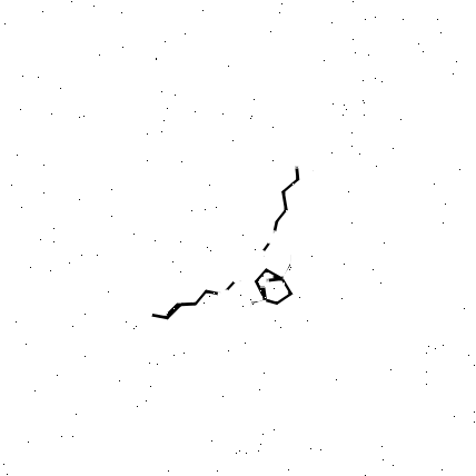 CC=CCCSC[C@@H]1[C@H](CSCCCCC(=O)O)[C@@H]2CC[C@H]1O2